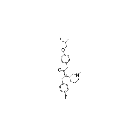 CCC(C)COc1ccc(CC(=O)N(Cc2ccc(F)cc2)[C@@H]2CCCN(C)C2)cc1